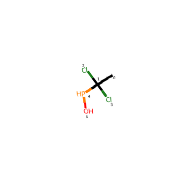 CC(Cl)(Cl)PO